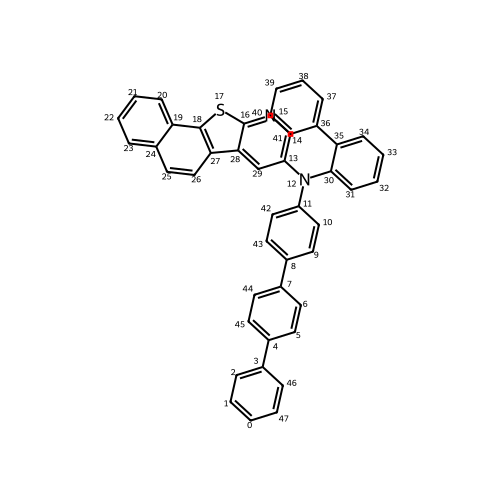 c1ccc(-c2ccc(-c3ccc(N(c4cnc5sc6c7ccccc7ccc6c5c4)c4ccccc4-c4ccccc4)cc3)cc2)cc1